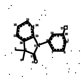 CC1(C)C(=O)N(c2cccc(Cl)c2)c2ncccc21